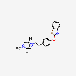 CC(=O)N1C[C@@H]2C[C@H]1CN2CCc1ccc(Oc2nc3ccccc3s2)cc1